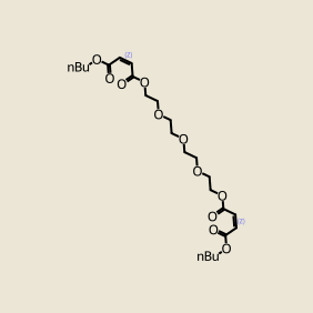 CCCCOC(=O)/C=C\C(=O)OCCOCCOCCOCCOC(=O)/C=C\C(=O)OCCCC